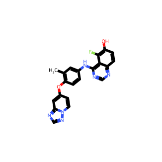 Cc1cc(Nc2ncnc3ccc(O)c(F)c23)ccc1Oc1ccn2ncnc2c1